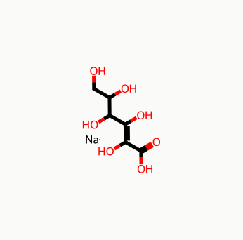 O=C(O)C(O)=C(O)C(O)C(O)CO.[Na]